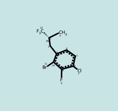 C[C@H](Cc1ccc(Cl)c(F)c1Br)C(F)(F)F